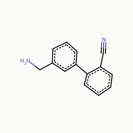 N#Cc1ccccc1-c1cc[c]c(CN)c1